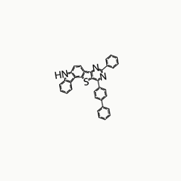 c1ccc(-c2ccc(-c3nc(-c4ccccc4)nc4c3sc3c4ccc4[nH]c5ccccc5c43)cc2)cc1